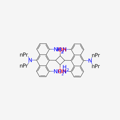 CCCN(CCC)c1c2cccc(N)c2c(C2C(O)C(c3c4c(N)cccc4c(N(CCC)CCC)c4cccc(N)c34)C2O)c2c(N)cccc12